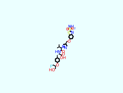 CC(C)C(C(=O)N[C@@H](Cc1ccc(OC(CO)CF)cc1)C(=O)O)n1cc(COc2ccc3nc(S(N)(=O)=O)sc3c2)cn1